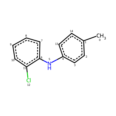 Cc1ccc(Nc2ccccc2Cl)cc1